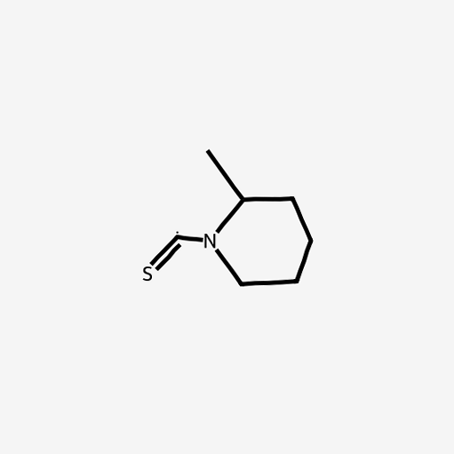 CC1CCCCN1[C]=S